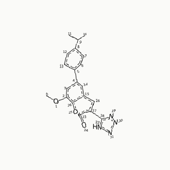 COc1cc(-c2ccc(C(C)C)cc2)cc2cc(-c3nnn[nH]3)c(=O)oc12